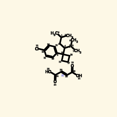 CC(C)CC(N(C)C)C1(c2ccc(Cl)cc2)CCC1.O=C(O)/C=C/C(=O)O